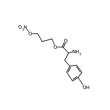 NC(Cc1ccc(O)cc1)C(=O)OCCCO[N+](=O)[O-]